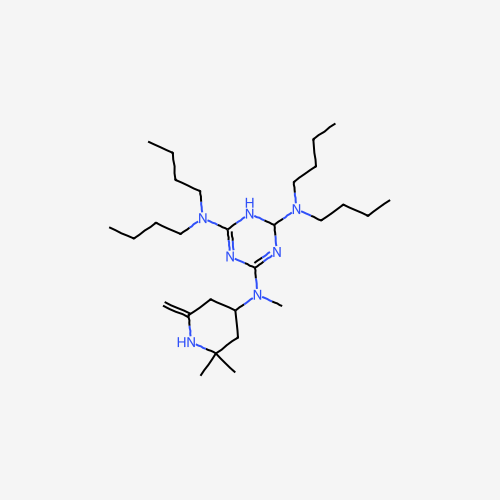 C=C1CC(N(C)C2=NC(N(CCCC)CCCC)NC(N(CCCC)CCCC)=N2)CC(C)(C)N1